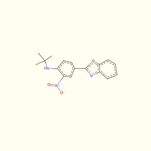 CC(C)(C)Nc1ccc(-c2nc3ccccc3o2)cc1[N+](=O)[O-]